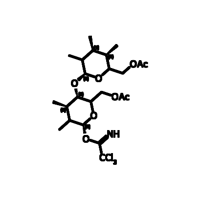 CC(=O)OCC1O[C@H](OC(=N)C(Cl)(Cl)Cl)C(C)[C@@H](C)[C@@H]1O[C@@H]1OC(COC(C)=O)[C@H](C)[C@H](C)C1C